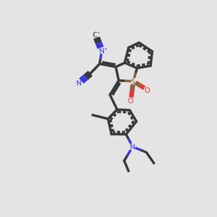 [C-]#[N+]/C(C#N)=C1/C(=Cc2ccc(N(CC)CC)cc2C)S(=O)(=O)c2ccccc21